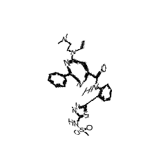 CCN(CCN(C)C)c1cc(C(=O)Nc2ccccc2-c2nnc(NS(C)(=O)=O)s2)nc(-c2ccccc2)n1